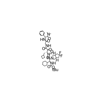 CN(C)C(=O)[C@@H](NC(=O)CNC(=O)C(=O)[C@@H](CC1CCC1)NC(=O)[C@@H]1[C@H]2CC(F)(F)C[C@H]2CN1C(=O)[C@@H](NC(=O)OC(C)(C)C)C1CCCCC1)c1ccccc1